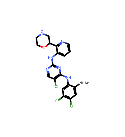 CC(=O)Nc1cc(Cl)c(Cl)cc1Nc1nc(Nc2cccnc2C2CNCCO2)ncc1Cl